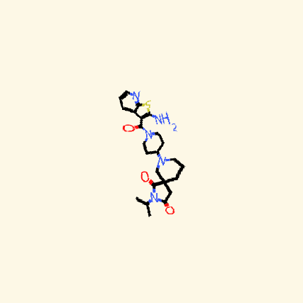 CC(C)N1C(=O)CC2(CCCN(C3CCN(C(=O)c4c(N)sc5ncccc45)CC3)C2)C1=O